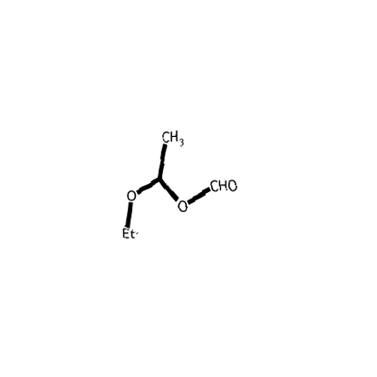 C[CH]OC(C)OC=O